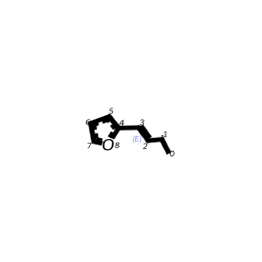 C[CH]/C=C/c1ccco1